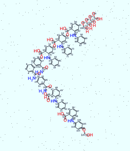 NC(=O)c1ccccc1.NC(=O)c1ccccc1.NC(=O)c1ccccc1.O=C(O)c1ccccc1Nc1ccccc1.O=C(O)c1ccccc1Nc1ccccc1.O=C(O)c1ccccc1Nc1ccccc1.O=C(O)c1ccccc1Nc1ccccc1.O=C(O)c1ccccc1Nc1ccccc1.O=CO.O=CO.O=CO.O=CO.O=CO